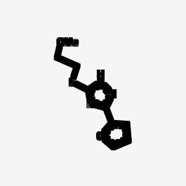 COCCSc1nc(-c2ccco2)n[nH]1